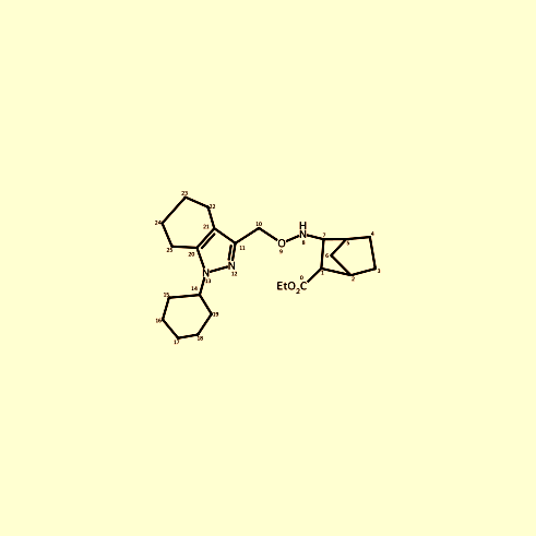 CCOC(=O)C1C2CCC(C2)C1NOCc1nn(C2CCCCC2)c2c1CCCC2